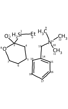 CC[SiH2]C1([O-])CCCCO1.C[N+](C)(C)Cc1ccccc1